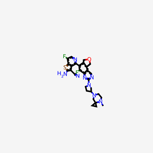 CN1CCN(C2CCN(c3ncc4c5c(c(-c6ncc(F)c7sc(N)c(C#N)c67)c(F)c4n3)COC5)C2)CC12CC2